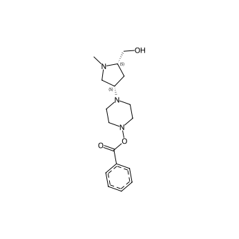 CN1C[C@@H](N2CCN(OC(=O)c3ccccc3)CC2)C[C@H]1CO